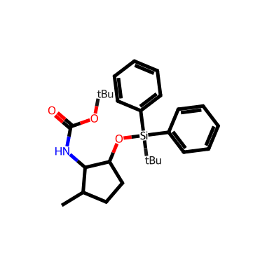 CC1CCC(O[Si](c2ccccc2)(c2ccccc2)C(C)(C)C)C1NC(=O)OC(C)(C)C